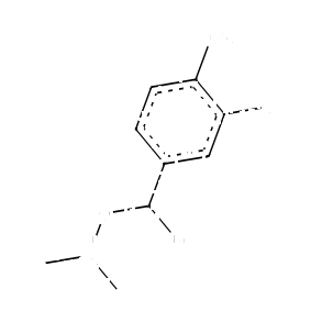 C[SiH](C)OC(Br)c1ccc(C(C)(C)C)c(Cl)c1